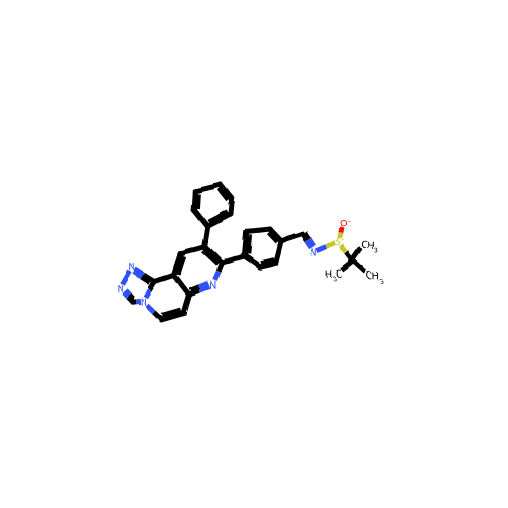 CC(C)(C)[S+]([O-])N=Cc1ccc(-c2nc3ccn4cnnc4c3cc2-c2ccccc2)cc1